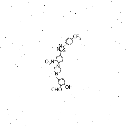 O=Cc1cc(CN2CCN(c3ccc(-c4nnc(-c5ccc(C(F)(F)F)cc5)s4)cc3[N+](=O)[O-])CC2)ccc1O